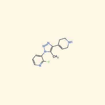 Cc1c(C2=CCNCC2)nnn1-c1cccnc1F